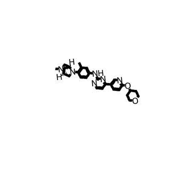 Cc1cc(Nc2nccc(-c3ccc(OC4CCOCC4)nc3)n2)ccc1N1C[C@@H]2C[C@H]1CN2C